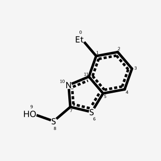 CCc1cccc2sc(SO)nc12